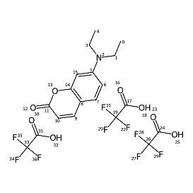 CCN(CC)c1ccc2ccc(=O)oc2c1.O=C(O)C(F)(F)F.O=C(O)C(F)(F)F.O=C(O)C(F)(F)F